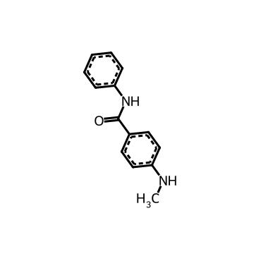 CNc1ccc(C(=O)Nc2ccccc2)cc1